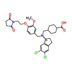 COc1cc(CN(CC2CCC(C(=O)O)CC2)[C@H]2CCc3cc(Cl)c(Cl)cc32)ccc1OCCN1C(=O)CCC1=O